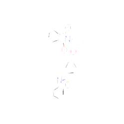 O=C1c2ccccc2C(=O)N1C1CCCC1OCc1ccc(-c2nc3ccccc3o2)cc1